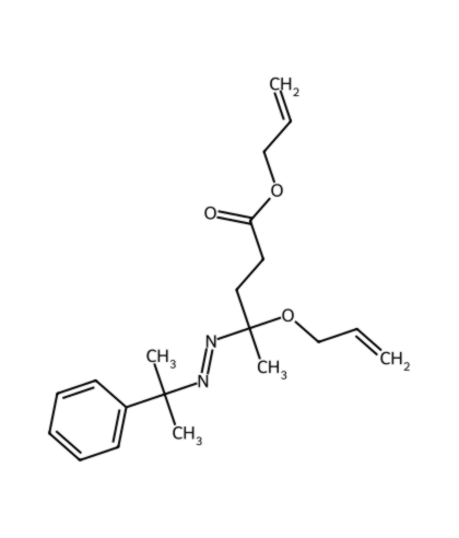 C=CCOC(=O)CCC(C)(N=NC(C)(C)c1ccccc1)OCC=C